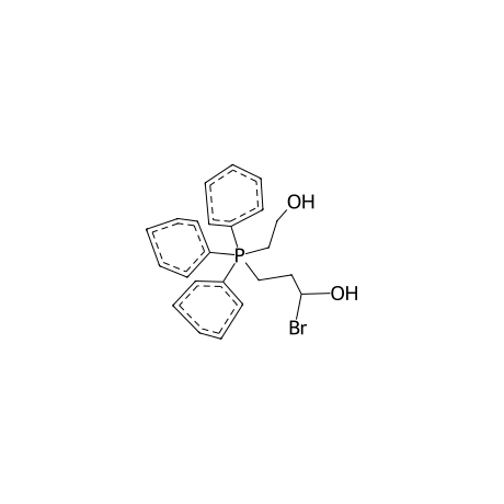 OCCP(CCC(O)Br)(c1ccccc1)(c1ccccc1)c1ccccc1